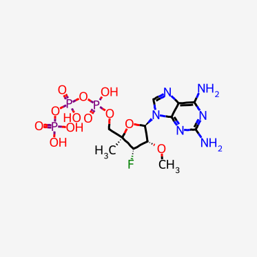 CO[C@H]1[C@H](n2cnc3c(N)nc(N)nc32)O[C@](C)(COP(=O)(O)OP(=O)(O)OP(=O)(O)O)[C@H]1F